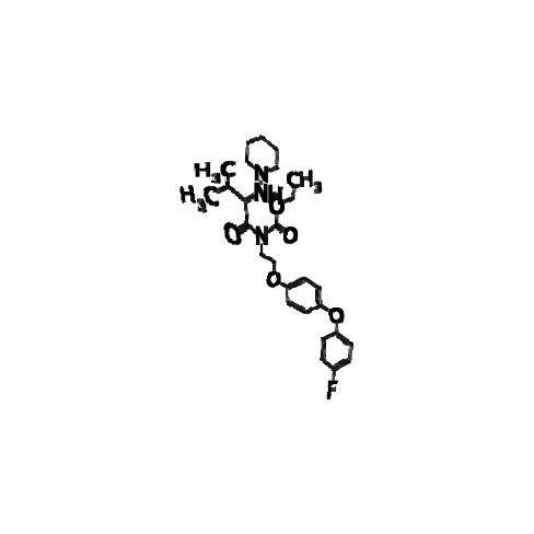 CCOC(=O)N(CCOc1ccc(Oc2ccc(F)cc2)cc1)C(=O)C(NN1CCCCC1)C(C)C